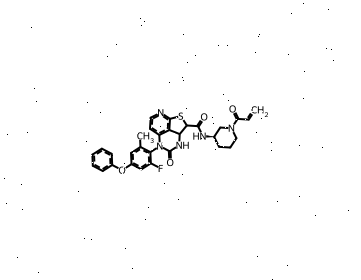 C=CC(=O)N1CCC[C@@H](NC(=O)C2Sc3nccc4c3C2NC(=O)N4c2c(C)cc(Oc3ccccc3)cc2F)C1